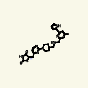 Cc1cc(CNCC2CCN(c3nccc(/C=C4/SC(=O)NC4=O)n3)CC2)nc(-c2ccc[nH]2)c1